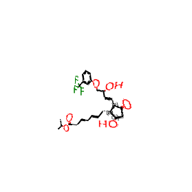 CC(C)OC(=O)CCCC=CC[C@H]1[C@@H](O)CC(=O)[C@@H]1C=CC(O)COc1cccc(C(F)(F)F)c1